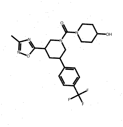 Cc1noc(C2CC(c3ccc(C(F)(F)F)cc3)CN(C(=O)N3CCC(O)CC3)C2)n1